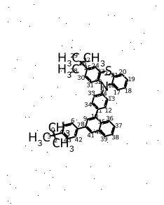 CC(C)(C)c1ccc(-c2cc(-c3ccc(N4c5ccccc5Sc5cc(C(C)(C)C)ccc54)cc3)c3ccccc3c2)cc1